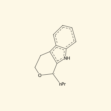 CCC[C]1OCCc2c1[nH]c1ccccc21